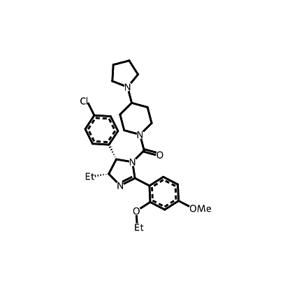 CCOc1cc(OC)ccc1C1=N[C@H](CC)[C@H](c2ccc(Cl)cc2)N1C(=O)N1CCC(N2CCCC2)CC1